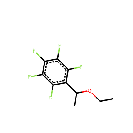 CCOC(C)c1c(F)c(F)c(F)c(F)c1F